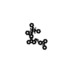 c1ccc(-c2nc(-c3ccccc3)nc(-n3c4ccccc4c4cc(-n5c6ccccc6c6ccc7c(ccn7-c7ccc8c(c7)c7ccccc7n8-c7ccccc7)c65)ccc43)n2)cc1